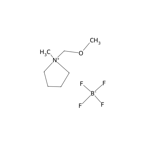 COC[N+]1(C)CCCC1.F[B-](F)(F)F